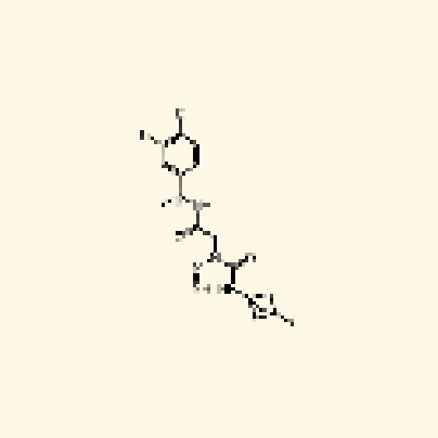 C[C@H](NC(=O)CN(N=N)C(=O)NC12CC(F)(C1)C2)c1ccc(Cl)c(F)c1